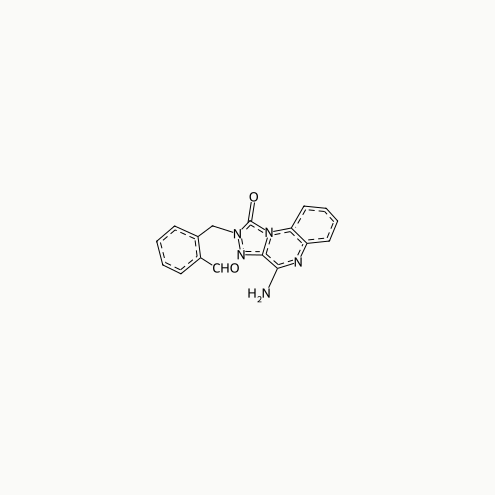 Nc1nc2ccccc2n2c(=O)n(Cc3ccccc3C=O)nc12